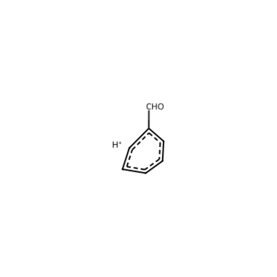 O=Cc1ccccc1.[H+]